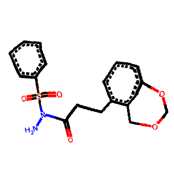 NN(C(=O)CCc1cccc2c1COCO2)S(=O)(=O)c1ccccc1